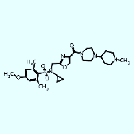 COc1cc(C)c(S(=O)(=O)N(Cc2nc(C(=O)N3CCN(C4CCN(C)CC4)CC3)co2)C2CC2)c(C)c1